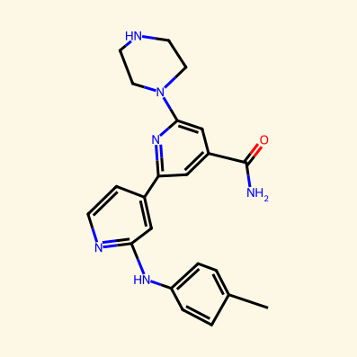 Cc1ccc(Nc2cc(-c3cc(C(N)=O)cc(N4CCNCC4)n3)ccn2)cc1